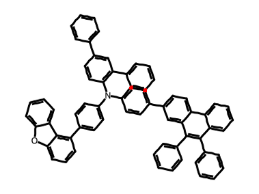 c1ccc(-c2ccc(N(c3ccc(-c4ccc5c(c4)c(-c4ccccc4)c(-c4ccccc4)c4ccccc45)cc3)c3ccc(-c4cccc5oc6ccccc6c45)cc3)c(-c3ccccc3)c2)cc1